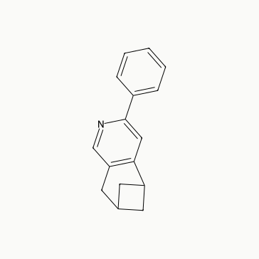 c1ccc(-c2cc3c(cn2)CC2CC3C2)cc1